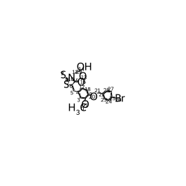 COc1cc(C=C2SC(=S)N(CC(=O)O)C2=O)ccc1OCc1ccc(Br)cc1